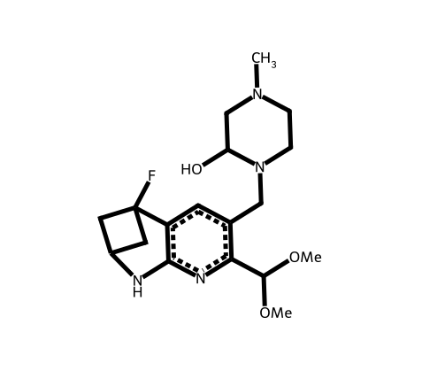 COC(OC)c1nc2c(cc1CN1CCN(C)CC1O)C1(F)CC(C1)N2